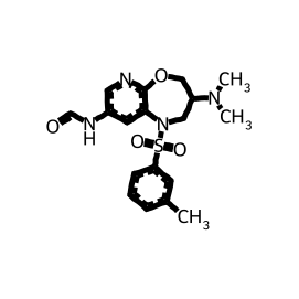 Cc1cccc(S(=O)(=O)N2CC(N(C)C)COc3ncc(NC=O)cc32)c1